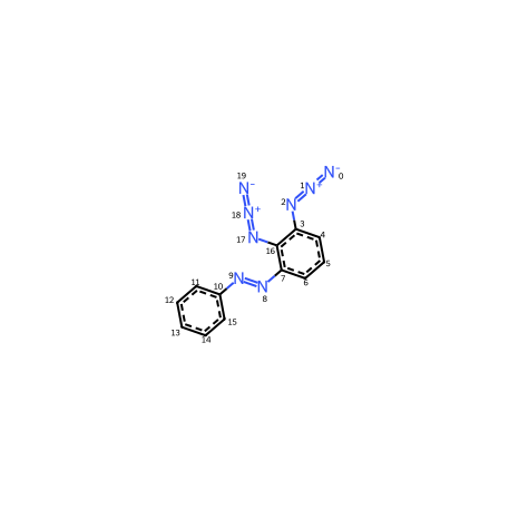 [N-]=[N+]=Nc1cccc(N=Nc2ccccc2)c1N=[N+]=[N-]